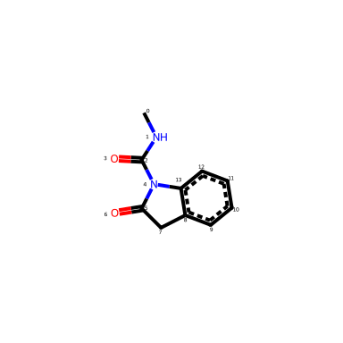 CNC(=O)N1C(=O)Cc2ccccc21